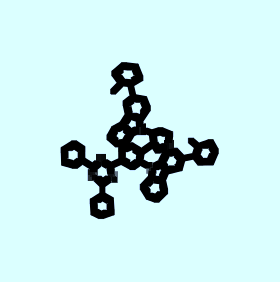 Cc1ccccc1-c1ccc2c(c1)c1ccccc1n2-c1ccncc1-c1ccc(-c2nc(-c3ccccc3)nc(-c3ccccc3)n2)cc1-n1c2ccccc2c2cc(-c3ccccc3C)ccc21